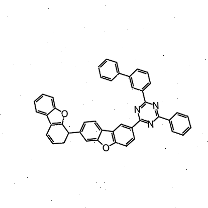 C1=Cc2c(oc3ccccc23)C(c2ccc3c(c2)oc2ccc(-c4nc(-c5ccccc5)nc(-c5cccc(-c6ccccc6)c5)n4)cc23)C1